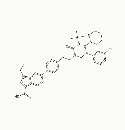 CC(C)n1cc(C(=O)O)c2ccc(-c3ccc(CCN(CC(OC4CCCCO4)c4cccc(Cl)c4)C(=O)OC(C)(C)C)cc3)cc21